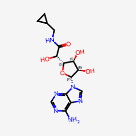 Nc1ncnc2c1ncn2[C@@H]1O[C@H](C(O)C(=O)NCC2CC2)[C@@H](O)[C@H]1O